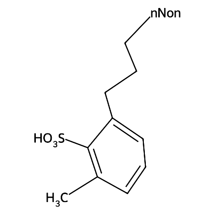 CCCCCCCCCCCCc1cccc(C)c1S(=O)(=O)O